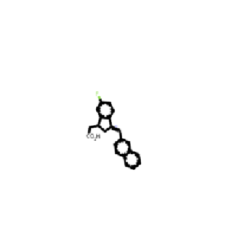 O=C(O)CC1C/C(=C\c2ccc3ccccc3c2)c2ccc(F)cc21